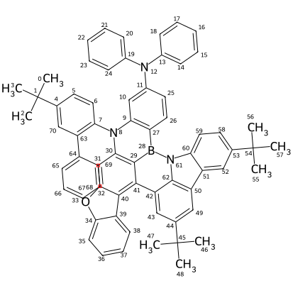 CC(C)(C)c1ccc(N2c3cc(N(c4ccccc4)c4ccccc4)ccc3B3c4c2cc2oc5ccccc5c2c4-c2cc(C(C)(C)C)cc4c5cc(C(C)(C)C)ccc5n3c24)c(-c2ccccc2)c1